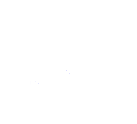 CNC(=O)OCN1CC2c3ccccc3Oc3ccc(Cl)cc3C2C1